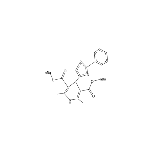 CCCCOC(=O)C1=C(C)NC(C)=C(C(=O)OCCCC)C1c1csc(-c2ccccc2)n1